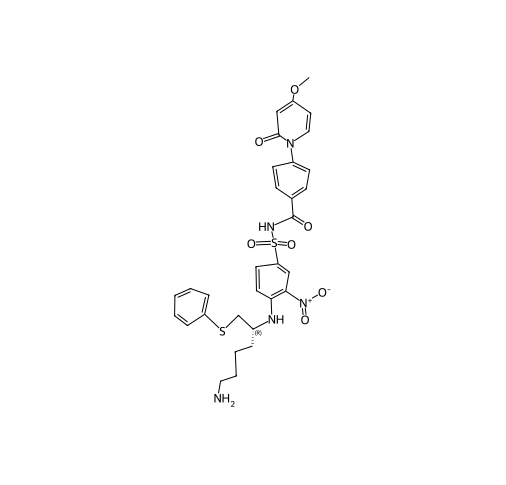 COc1ccn(-c2ccc(C(=O)NS(=O)(=O)c3ccc(N[C@H](CCCCN)CSc4ccccc4)c([N+](=O)[O-])c3)cc2)c(=O)c1